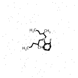 CCCC(C)CN(CC(C)CCC)c1ccccc1F